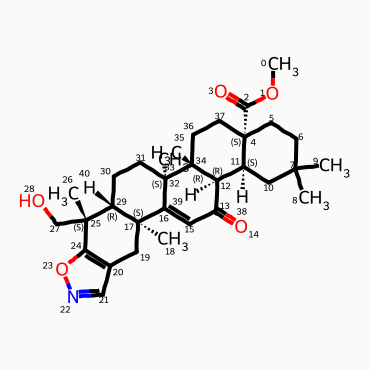 COC(=O)[C@]12CCC(C)(C)C[C@H]1[C@H]1C(=O)C=C3[C@@]4(C)Cc5cnoc5[C@](C)(CO)[C@@H]4CC[C@@]3(C)[C@]1(C)CC2